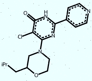 CC(C)CC1CN(c2nc(-c3ccncc3)[nH]c(=O)c2Cl)CCO1